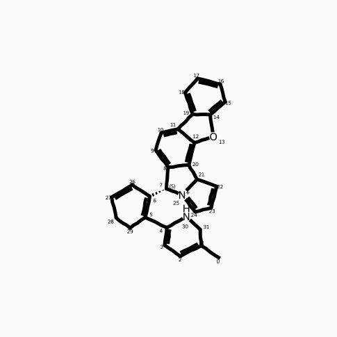 CC1=CC=C(C2=C([C@@H]3c4ccc5c(oc6ccccc65)c4C4C=CC=[N+]43)C=CCC2)NC1